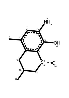 Cc1cc(N)c(O)c2c1CC(C)C[S@@+]2[O-]